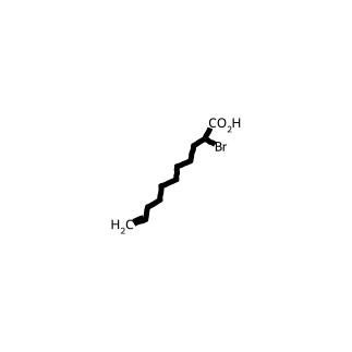 C=CCCCCCCCC(Br)C(=O)O